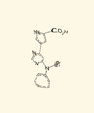 CC(C)N(c1ccccc1)c1cc(-c2c[nH]c(C(=O)O)c2)ncn1